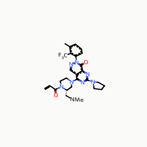 C=CC(=O)N1CCN(c2nc(N3CCCC3)nc3c(=O)n(-c4cccc(C)c4C(F)(F)F)ncc23)C[C@@H]1CNC